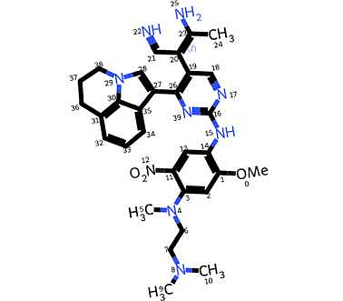 COc1cc(N(C)CCN(C)C)c([N+](=O)[O-])cc1Nc1ncc(/C(C=N)=C(\C)N)c(-c2cn3c4c(cccc24)CCC3)n1